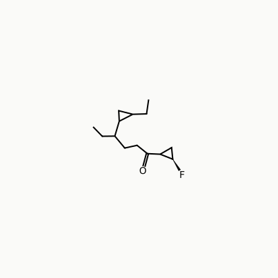 CCC(CCC(=O)C1C[C@H]1F)C1CC1CC